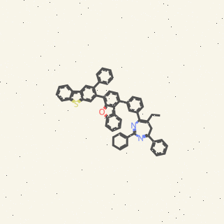 CCC1=C(c2cccc(-c3ccc(-c4cc5sc6ccccc6c5cc4-c4ccccc4)c4oc5ccccc5c34)c2)N=C(C2=CCCC=C2)N=C(c2ccccc2)C1